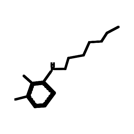 CCCCCCCPc1cccc(C)c1C